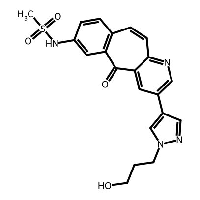 CS(=O)(=O)Nc1ccc2ccc3ncc(-c4cnn(CCCO)c4)cc3c(=O)c2c1